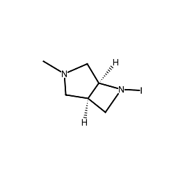 CN1C[C@@H]2CN(I)[C@@H]2C1